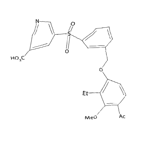 CCc1c(OCc2cccc(S(=O)(=O)c3cncc(C(=O)O)c3)c2)ccc(C(C)=O)c1OC